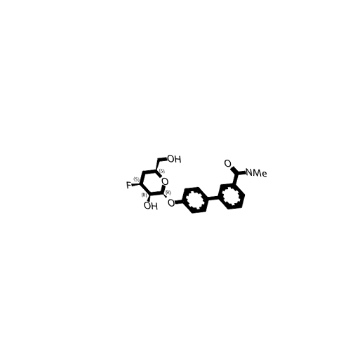 CNC(=O)c1cccc(-c2ccc(O[C@H]3O[C@H](CO)C[C@H](F)[C@@H]3O)cc2)c1